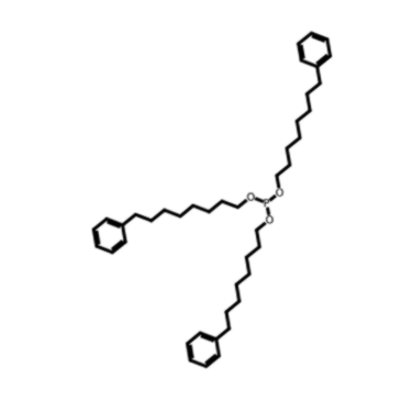 c1ccc(CCCCCCCCOP(OCCCCCCCCc2ccccc2)OCCCCCCCCc2ccccc2)cc1